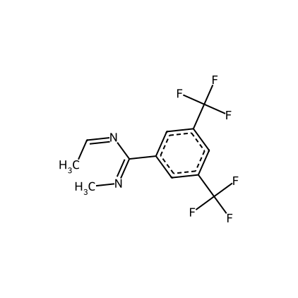 C/C=N\C(=N/C)c1cc(C(F)(F)F)cc(C(F)(F)F)c1